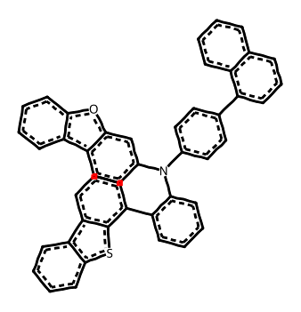 c1ccc(N(c2ccc(-c3cccc4ccccc34)cc2)c2ccc3c(c2)oc2ccccc23)c(-c2cccc3c2sc2ccccc23)c1